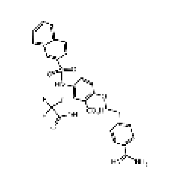 N=C(N)c1ccc(CCOc2ccc(NS(=O)(=O)c3ccc4ccccc4c3)cc2C(=O)O)cc1.O=C(O)C(F)(F)F